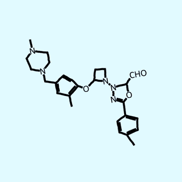 Cc1ccc(C2=NN(N3CCC3Oc3ccc(CN4CCN(C)CC4)cc3C)C(C=O)O2)cc1